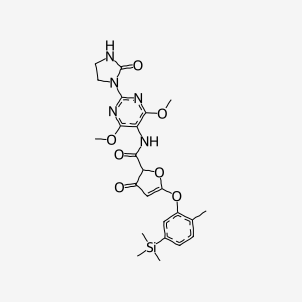 COc1nc(N2CCNC2=O)nc(OC)c1NC(=O)C1OC(Oc2cc([Si](C)(C)C)ccc2C)=CC1=O